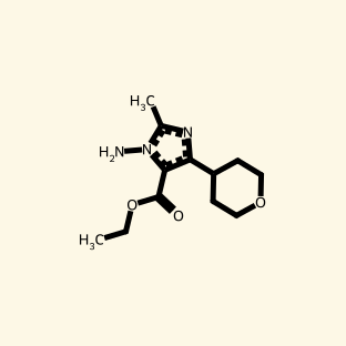 CCOC(=O)c1c(C2CCOCC2)nc(C)n1N